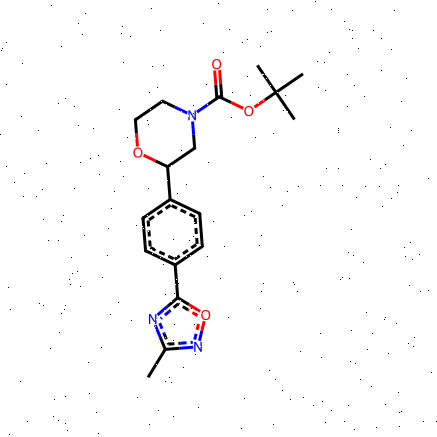 Cc1noc(-c2ccc(C3CN(C(=O)OC(C)(C)C)CCO3)cc2)n1